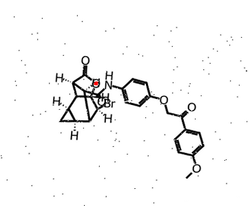 COc1ccc(C(=O)COc2ccc(NC(=O)[C@H]3C4[C@H]5C[C@H]5C5[C@H]3C(=O)O[C@@H]5[C@H]4Br)cc2)cc1